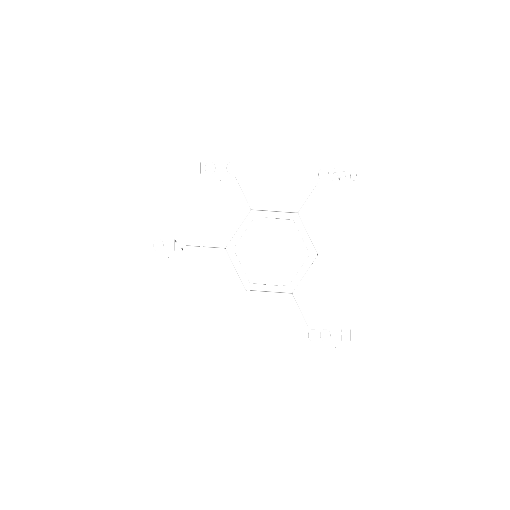 COc1cc(C(=O)O)cc([N+](=O)[O-])c1C(=O)O